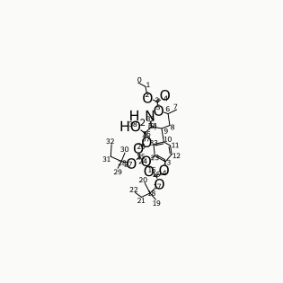 CCOC(=O)OC(C)CC(c1ccc(OC(=O)OC(C)(C)CC)c(OC(=O)OC(C)(C)CC)c1)[C@H](N)C(=O)O